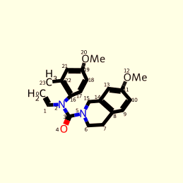 C=CN(C(=O)N1CCc2ccc(OC)cc2C1)c1ccc(OC)cc1C